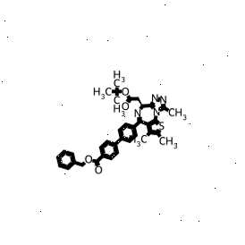 Cc1sc2c(c1C)C(c1ccc(-c3ccc(C(=O)OCc4ccccc4)cc3)cc1)=N[C@@H](CC(=O)OC(C)(C)C)c1nnc(C)n1-2